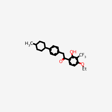 CCOc1ccc(C(=O)Cc2ccc(C3CCC(C)CC3)cc2)c(O)c1C(F)(F)F